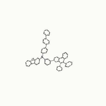 c1ccc(-c2ccc(-c3ccc(N(c4cccc(-c5ccc6c(c5)c(-c5ccccc5)c(-c5ccccc5)c5ccccc56)c4)c4ccc5c(c4)oc4ccccc45)cc3)cc2)cc1